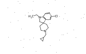 CCN1CC2(CCN(CC3CC3)CC2)c2cc(Cl)ccc21